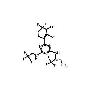 CC[C@@H](Nc1nc(NCC(F)(F)F)nc(C2=C(F)C(O)C(F)(F)CC2)n1)C(F)(F)F